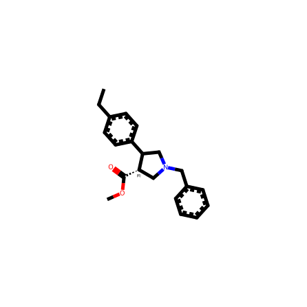 CCc1ccc(C2CN(Cc3ccccc3)C[C@@H]2C(=O)OC)cc1